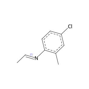 C/C=N/c1ccc(Cl)cc1C